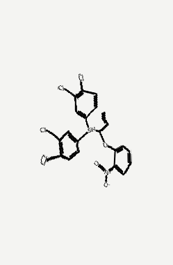 C=CC(Oc1ccccc1[N+](=O)[O-])[SiH](c1ccc(Cl)c(Cl)c1)c1ccc(Cl)c(Cl)c1